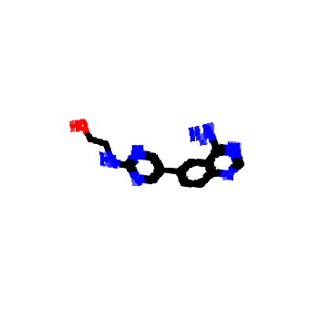 Nc1ncnc2ccc(-c3cnc(NCCO)nc3)cc12